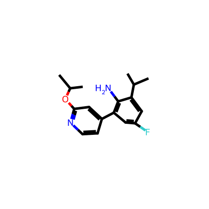 CC(C)Oc1cc(-c2cc(F)cc(C(C)C)c2N)ccn1